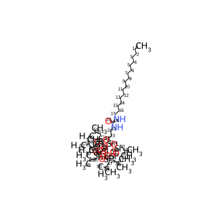 CCCCCCCCCCCCCCCCCCNC(=O)NCCC[Si]12O[Si]3(CC(C)C)O[Si]4(CC(C)C)O[Si](CC(C)C)(O1)O[Si]1(CC(C)C)O[Si](CC(C)C)(O2)O[Si](CC(C)C)(O3)O[Si](CC(C)C)(O4)O1